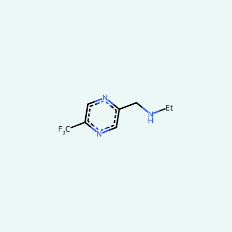 CCNCc1cnc(C(F)(F)F)cn1